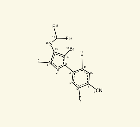 Cn1nc(-c2cc(F)c(C#N)cc2F)c(Br)c1SC(F)F